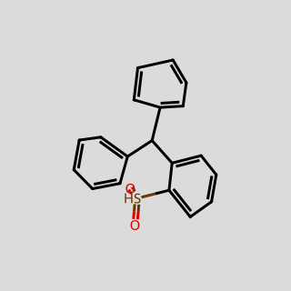 O=[SH](=O)c1ccccc1C(c1ccccc1)c1ccccc1